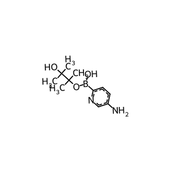 CC(C)(O)C(C)(C)OB(O)c1ccc(N)cn1